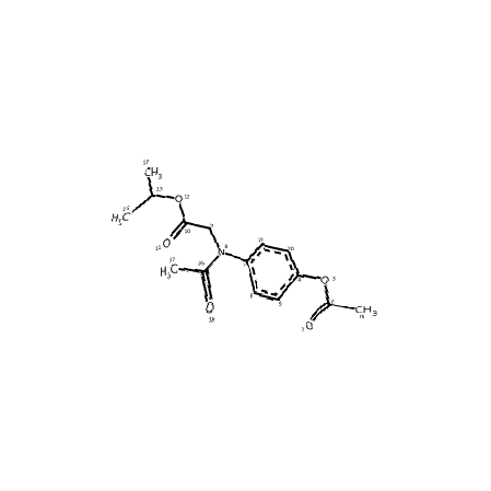 CC(=O)Oc1ccc(N(CC(=O)OC(C)C)C(C)=O)cc1